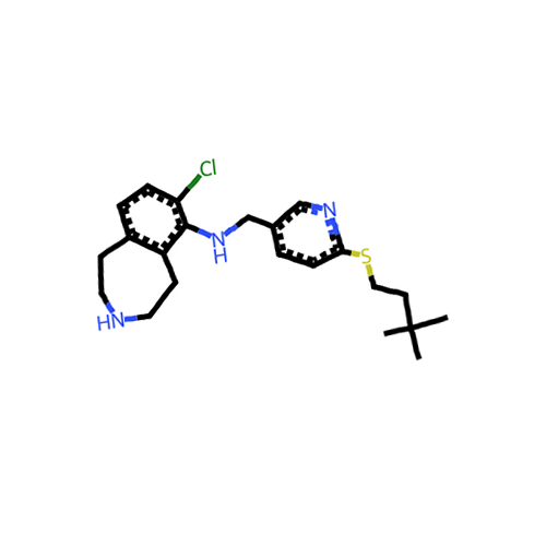 CC(C)(C)CCSc1ccc(CNc2c(Cl)ccc3c2CCNCC3)cn1